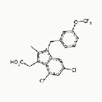 Cc1c(CC(=O)O)c2c(Cl)cc(Cl)cc2n1Cc1cccc(OC(F)(F)F)c1